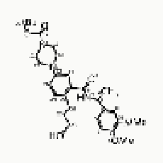 COc1ccc(C(C)NC(=O)c2cc(N3CCN(C(=O)OC(C)(C)C)CC3)ccc2CCCO)cc1OC